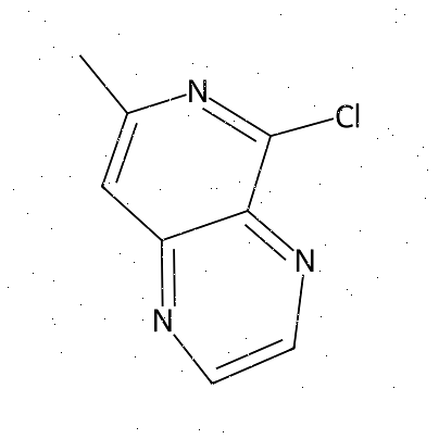 Cc1cc2nccnc2c(Cl)n1